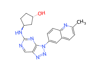 Cc1ccc2cc(-n3nnc4cnc(N[C@H]5CC[C@H](O)C5)nc43)ccc2n1